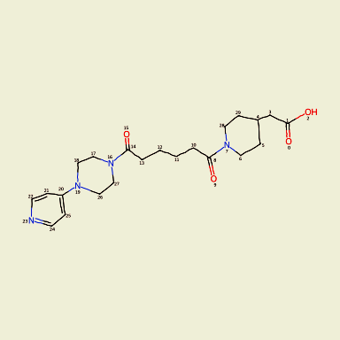 O=C(O)CC1CCN(C(=O)CCCCC(=O)N2CCN(c3ccncc3)CC2)CC1